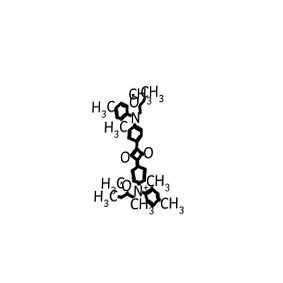 CCC(CN(c1ccc(C2=C([O-])C(=C3C=CC(=[N+](c4ccc(C)cc4C)C(C)C(CC)OC)C=C3)C2=O)cc1)c1ccc(C)cc1C)OC